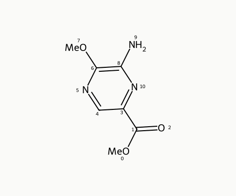 COC(=O)c1cnc(OC)c(N)n1